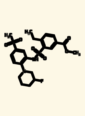 CCc1ccc(C(=O)OC)cc1S(=O)(=O)Nc1cc(S(C)(=O)=O)ccc1N1CCCC(F)C1